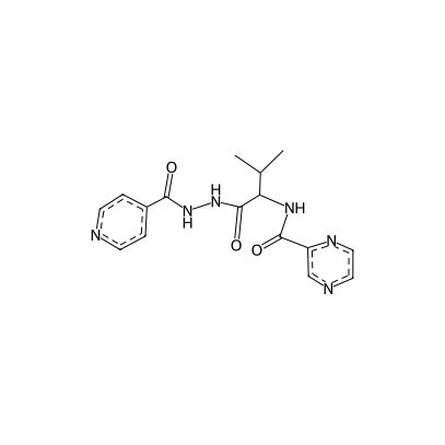 CC(C)C(NC(=O)c1cnccn1)C(=O)NNC(=O)c1ccncc1